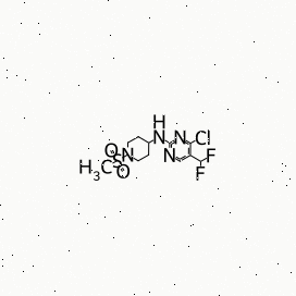 CS(=O)(=O)N1CCC(Nc2ncc(C(F)F)c(Cl)n2)CC1